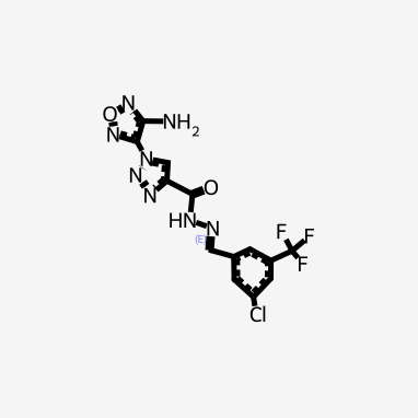 Nc1nonc1-n1cc(C(=O)N/N=C/c2cc(Cl)cc(C(F)(F)F)c2)nn1